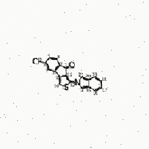 O=C1c2ccc(Cl)cc2-c2csc(-n3cc4ccccc4c3)c21